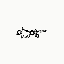 CNC1=Nc2cc(C#C[C@H](C)N3CC4CC4C3)c(OC)cc2C12CCC2